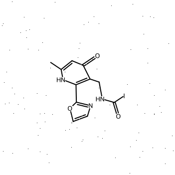 Cc1cc(=O)c(CNC(=O)I)c(-c2ncco2)[nH]1